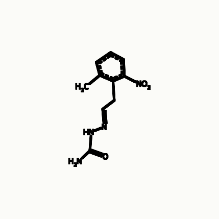 Cc1cccc([N+](=O)[O-])c1CC=NNC(N)=O